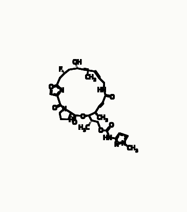 CC1=C\[C@@H](O)C[C@@H](F)Cc2nc(co2)C(=O)N2CCC[C@@H]2C(=O)O[C@H]([C@@H](C)COC(=O)Nc2ccn(C)n2)[C@H](C)/C=C/C(=O)NC\C=C\1